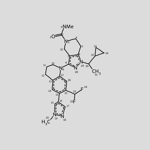 CNC(=O)N1CCc2c(c(N3CCCc4cc(-c5cnn(C)c5)c(C(F)F)cc43)nn2C(C)C2CC2)C1